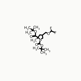 CC(C)(C)OC(=O)N1CC(COC(F)F)CC1(C)C(=O)OC(C)(C)C